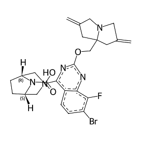 C=C1CN2CC(=C)CC2(COc2nc(N3C[C@H]4CC[C@@H](C3)N4C(=O)O)c3ccc(Br)c(F)c3n2)C1